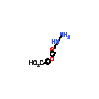 NCCCNCCCOc1ccc(Oc2ccc(CC(=O)O)cc2)cc1